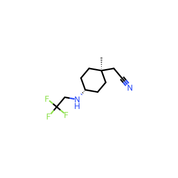 C[C@]1(CC#N)CC[C@H](NCC(F)(F)F)CC1